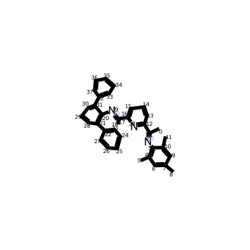 C/C(=N\c1c(C)cc(C)cc1C)c1cccc(/C(C)=N/c2c(-c3ccccc3)cccc2-c2ccccc2)n1